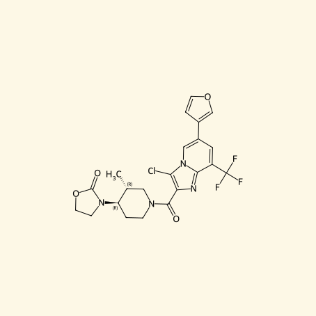 C[C@@H]1CN(C(=O)c2nc3c(C(F)(F)F)cc(-c4ccoc4)cn3c2Cl)CC[C@H]1N1CCOC1=O